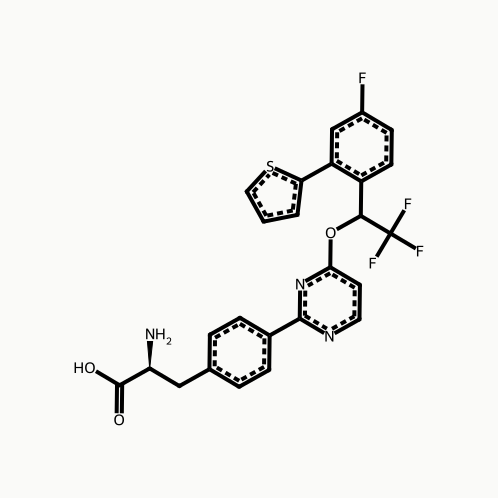 N[C@@H](Cc1ccc(-c2nccc(OC(c3ccc(F)cc3-c3cccs3)C(F)(F)F)n2)cc1)C(=O)O